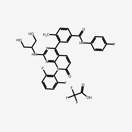 Cc1ccc(C(=O)Nc2ccc(F)cc2)cc1-c1nc(NC(CO)CO)nc2c1ccc(=O)n2-c1c(F)cccc1F.O=C(O)C(F)(F)F